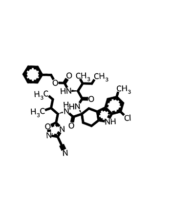 CCC(C)[C@H](NC(=O)OCc1ccccc1)C(=O)N[C@@]1(C(=O)N[C@H](c2nc(C#N)no2)C(C)CC)CCc2[nH]c3c(Cl)cc(C)cc3c2C1